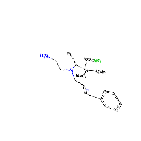 CCC(N(C/C=C/c1ccccc1)CCN)[Si](OC)(OC)OC.Cl